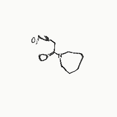 O=C(C[N+](=O)[O-])N1CCCCC1